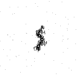 CN(C)CCONC(=O)c1cc(Oc2ccc(NC(=O)Nc3ccc(Cl)c(C(F)(F)F)c3)cc2)ncn1